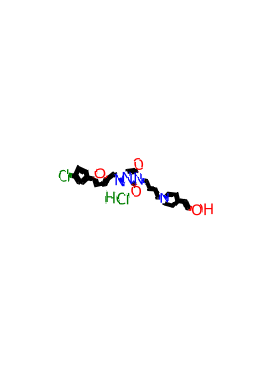 Cl.O=C1CN(N=Cc2ccc(-c3ccc(Cl)cc3)o2)C(=O)N1CCCCN1CCC(CCO)CC1